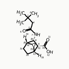 CC(C)(C)CC(=O)N[C@@H]1[C@H](C(=O)O)[C@@H]2CC[C@H]1O2